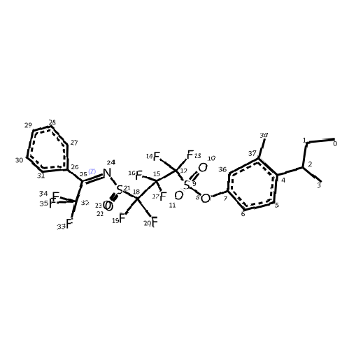 CCC(C)c1ccc(OS(=O)(=O)C(F)(F)C(F)(F)C(F)(F)S(=O)(=O)/N=C(/c2ccccc2)C(F)(F)F)cc1C